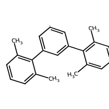 Cc1cccc(C)c1-c1c[c]cc(-c2c(C)cccc2C)c1